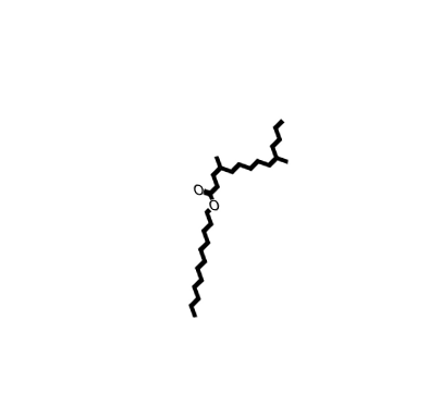 CCCCCCCCCCCCOC(=O)CCC(C)CCCCCC(C)CCCC